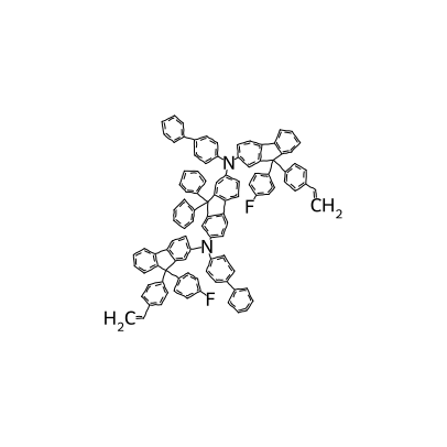 C=Cc1ccc(C2(c3ccc(F)cc3)c3ccccc3-c3ccc(N(c4ccc(-c5ccccc5)cc4)c4ccc5c(c4)C(c4ccccc4)(c4ccccc4)c4cc(N(c6ccc(-c7ccccc7)cc6)c6ccc7c(c6)C(c6ccc(F)cc6)(c6ccc(C=C)cc6)c6ccccc6-7)ccc4-5)cc32)cc1